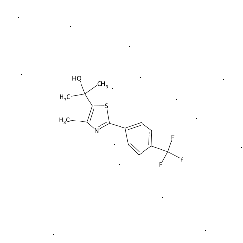 Cc1nc(-c2ccc(C(F)(F)F)cc2)sc1C(C)(C)O